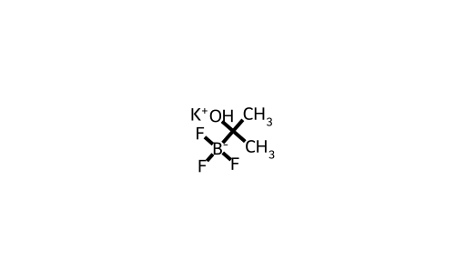 CC(C)(O)[B-](F)(F)F.[K+]